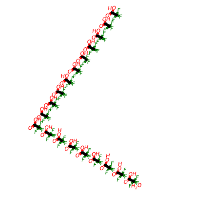 O.O=C(O)C(F)(F)F.O=C(O)C(F)(F)F.O=C(O)C(F)(F)F.O=C(O)C(F)(F)F.O=C(O)C(F)(F)F.O=C(O)C(F)(F)F.O=C(O)C(F)(F)F.O=C(O)C(F)(F)F.O=C(O)C(F)(F)F.O=C(O)C(F)(F)F.O=C(O)C(F)(F)F.O=C(O)C(F)(F)F.O=C(O)C(F)(F)F.O=C(O)C(F)(F)F.O=C(O)C(F)(F)F.O=C(O)C(F)(F)F.O=C(O)C(F)(F)F.O=C(O)C(F)(F)F.O=C(O)C(F)(F)F